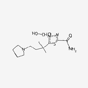 CC(C)(CCN1CCCC1)c1nnc(C(N)=O)s1.O=CO